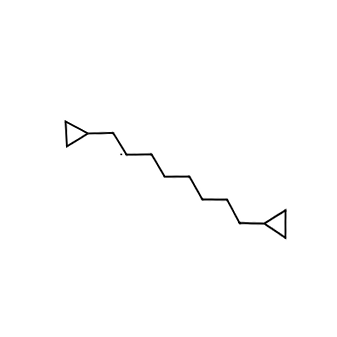 [CH](CCCCCCC1CC1)CC1CC1